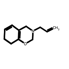 C=CCN1COC2=C(C=CCC2)C1